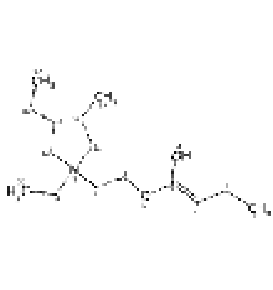 CC/C=C(\O)OCC[N+](CC)(CCC)CCCC